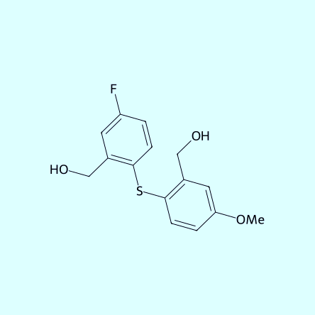 COc1ccc(Sc2ccc(F)cc2CO)c(CO)c1